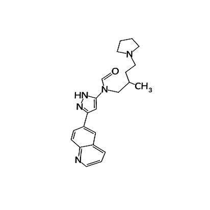 CC(CCN1CCCC1)CN(C=O)c1cc(-c2ccc3ncccc3c2)n[nH]1